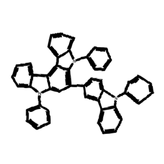 c1ccc(-n2c3ccccc3c3cc(-c4cc5c(c6ccccc6n5-c5ccccc5)c5c6ccccc6n(-c6ccccc6)c45)ccc32)cc1